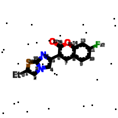 CCc1cn2cc(-c3cc4ccc(F)cc4oc3=O)nc2s1